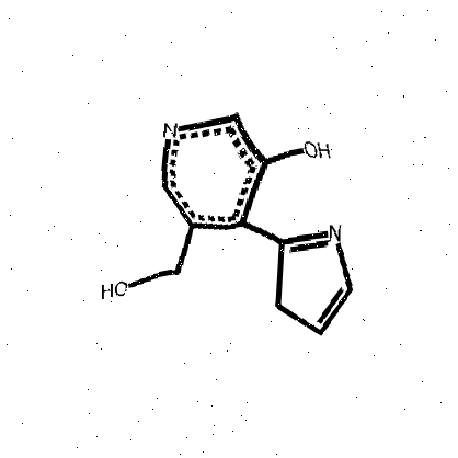 OCc1cncc(O)c1C1=NC=CC1